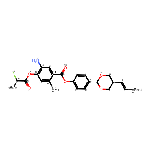 CCCCCC=C[C@H]1CO[C@H](c2ccc(OC(=O)c3cc(N)c(OC(=O)[C@H](F)CCCC)cc3[N+](=O)[O-])cc2)OC1